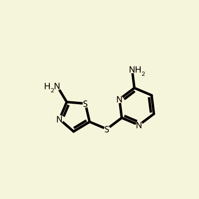 Nc1ccnc(Sc2cnc(N)s2)n1